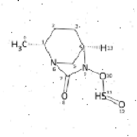 C[C@@H]1CC[C@@H]2CN1C(=O)N2O[SH]=O